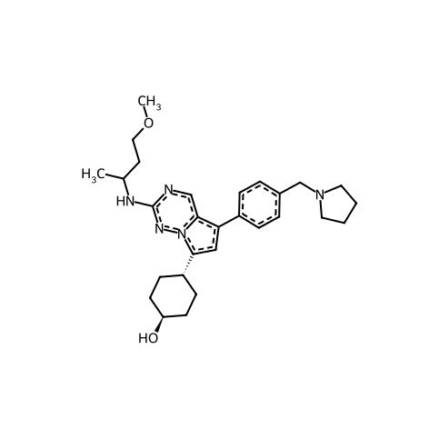 COCCC(C)Nc1ncc2c(-c3ccc(CN4CCCC4)cc3)cc([C@H]3CC[C@H](O)CC3)n2n1